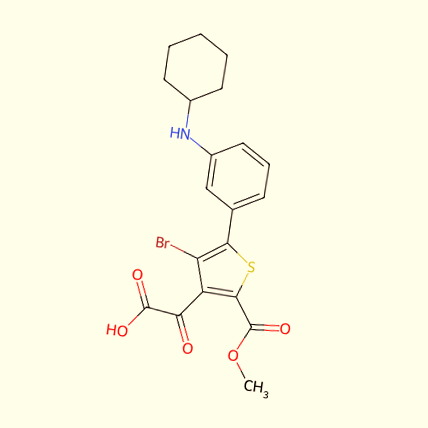 COC(=O)c1sc(-c2cccc(NC3CCCCC3)c2)c(Br)c1C(=O)C(=O)O